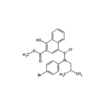 COC(=O)c1cc([S+]([O-])N(CC(C)C)c2ccc(Br)cc2)c2ccccc2c1O